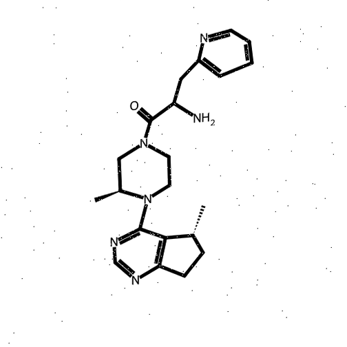 C[C@@H]1CCc2ncnc(N3CCN(C(=O)C(N)Cc4ccccn4)C[C@@H]3C)c21